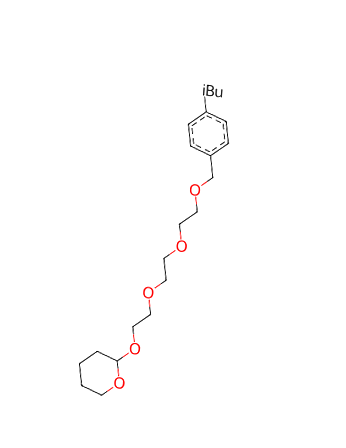 CCC(C)c1ccc(COCCOCCOCCOC2CCCCO2)cc1